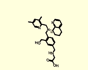 Cc1cnc(CN(Cc2ccc(CNCC(=O)O)cc2CO)[C@H]2CCCc3cccnc32)c(C)c1